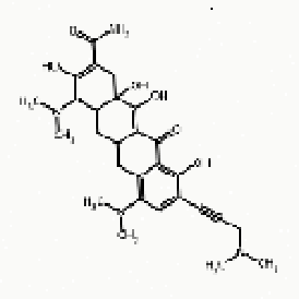 CN(C)CC#Cc1cc(N(C)C)c2c(c1O)C(=O)C1=C(O)C3(O)CC(C(N)=O)=C(O)C(N(C)C)C3CC1C2